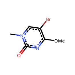 COc1nc(=O)n(C)cc1Br